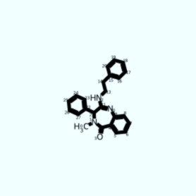 CN1C(=O)c2ccccc2N=C(NCCc2ccccc2)C1c1ccccc1